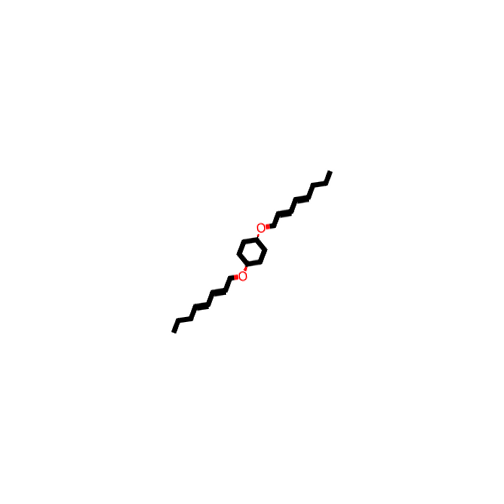 CCCC=CC=CCO[C@H]1CC[C@H](OCC=CC=CCCC)CC1